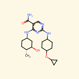 C[C@@H]1CC[C@@H](Nc2nc(NC3CCC(OC4CC4)CC3)ncc2C(N)=O)C[C@H]1O